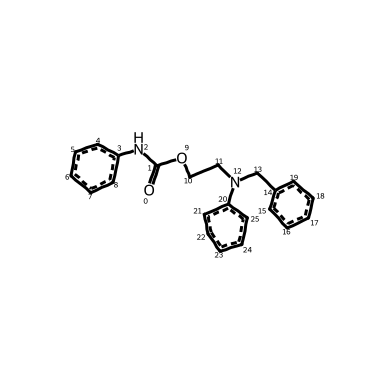 O=C(Nc1ccccc1)OCCN(Cc1ccccc1)c1ccccc1